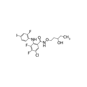 CCC(O)CCONC(=O)c1cc(Cl)c(F)c(F)c1Nc1ccc(I)cc1F